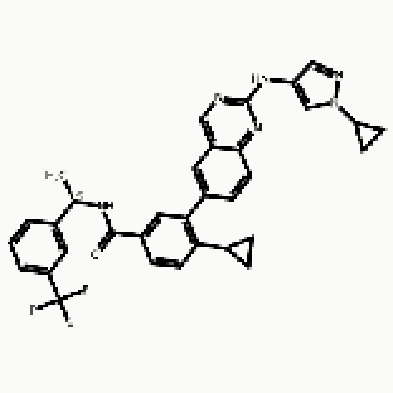 C[C@@H](NC(=O)c1ccc(C2CC2)c(-c2ccc3nc(Nc4cnn(C5CC5)c4)ncc3c2)c1)c1cccc(C(F)(F)F)c1